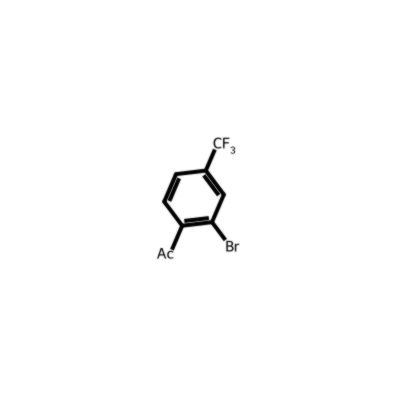 CC(=O)c1ccc(C(F)(F)F)cc1Br